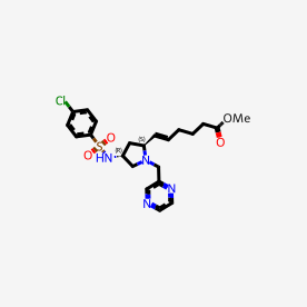 COC(=O)CCCC=C[C@@H]1C[C@@H](NS(=O)(=O)c2ccc(Cl)cc2)CN1Cc1cnccn1